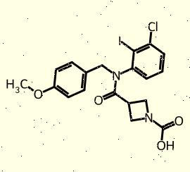 COc1ccc(CN(C(=O)C2CN(C(=O)O)C2)c2cccc(Cl)c2I)cc1